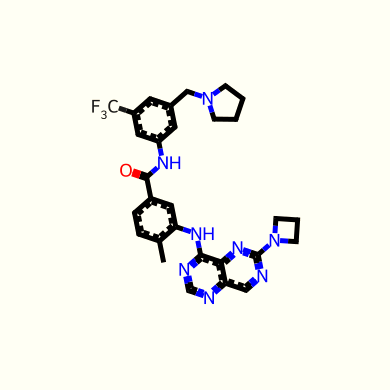 Cc1ccc(C(=O)Nc2cc(CN3CCCC3)cc(C(F)(F)F)c2)cc1Nc1ncnc2cnc(N3CCC3)nc12